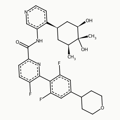 C[C@H]1C[C@@H](c2ccncc2NC(=O)c2ccc(F)c(-c3c(F)cc(C4CCOCC4)cc3F)n2)C[C@@H](O)[C@]1(C)O